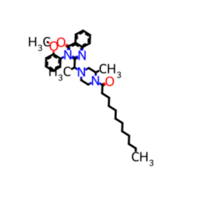 CCCCCCCCCCCC(=O)N1CCN(C(C)c2nc3ccccc3c(=O)n2-c2ccccc2OC)CC1C